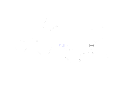 c1ccc(-c2c(Nc3cccc([SiH](c4ccccc4)c4ccccc4)c3)ccc3c2sc2ccccc23)cc1